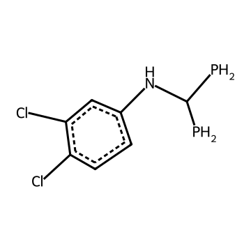 PC(P)Nc1ccc(Cl)c(Cl)c1